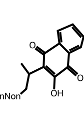 CCCCCCCCCCC(C)C1=C(O)C(=O)c2ccccc2C1=O